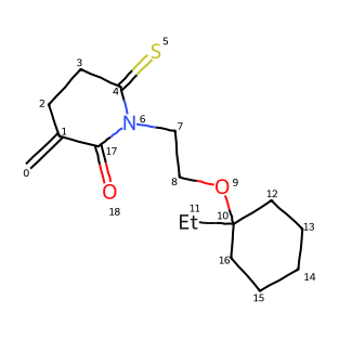 C=C1CCC(=S)N(CCOC2(CC)CCCCC2)C1=O